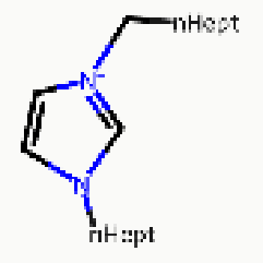 CCCCCCCC[n+]1ccn(CCCCCCC)c1